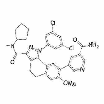 COc1cc2c(cc1-c1cncc(C(N)=O)c1)-c1c(c(C(=O)N(C)C3CCCC3)nn1-c1cc(Cl)cc(Cl)c1)CC2